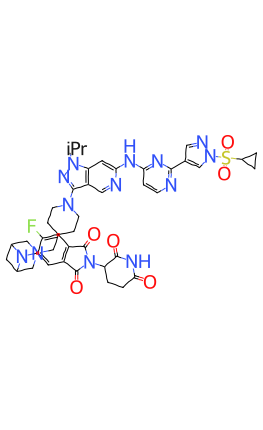 CC(C)n1nc(N2CCC(CN3CC4CC(C3)N4c3cc4c(cc3F)C(=O)N(C3CCC(=O)NC3=O)C4=O)CC2)c2cnc(Nc3ccnc(-c4cnn(S(=O)(=O)C5CC5)c4)n3)cc21